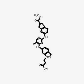 COC(=O)c1cc2cc(Nc3ncc(F)c(Nc4ccc5cnn(CCC(=O)O)c5c4)n3)ccc2o1